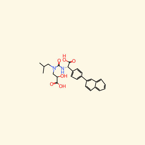 CC(C)CN(CC(O)C(=O)O)C(=O)N[C@H](C(=O)O)c1ccc(-c2ccc3ccccc3c2)cc1